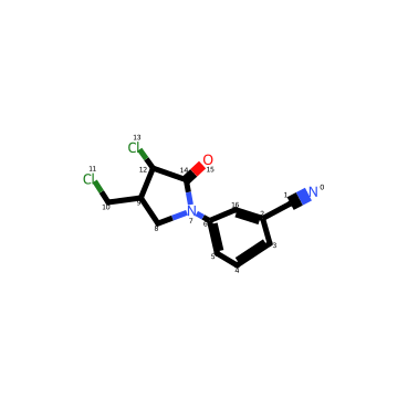 N#Cc1cccc(N2CC(CCl)C(Cl)C2=O)c1